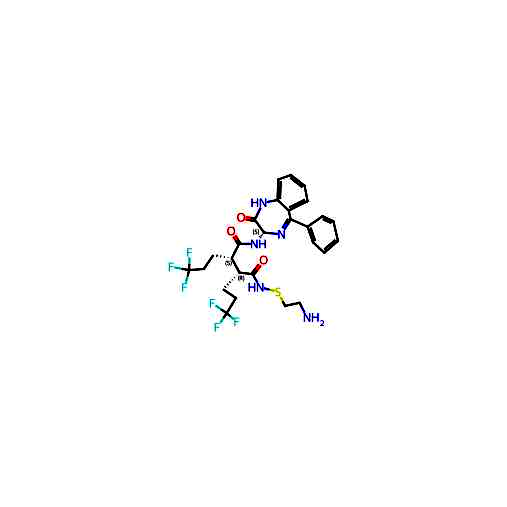 NCCSNC(=O)[C@H](CCC(F)(F)F)[C@H](CCC(F)(F)F)C(=O)N[C@H]1N=C(c2ccccc2)c2ccccc2NC1=O